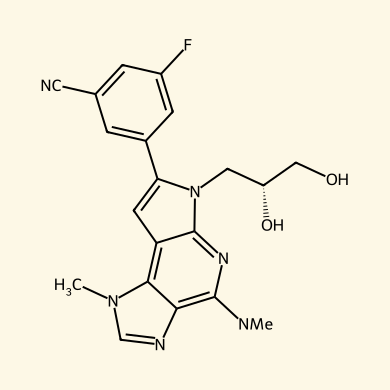 CNc1nc2c(cc(-c3cc(F)cc(C#N)c3)n2C[C@@H](O)CO)c2c1ncn2C